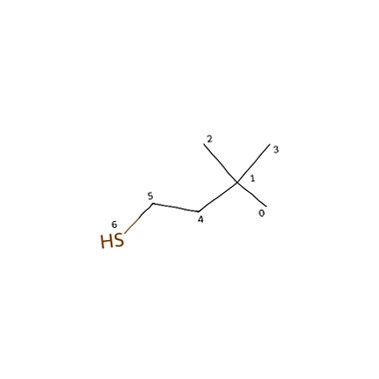 CC(C)(C)CCS